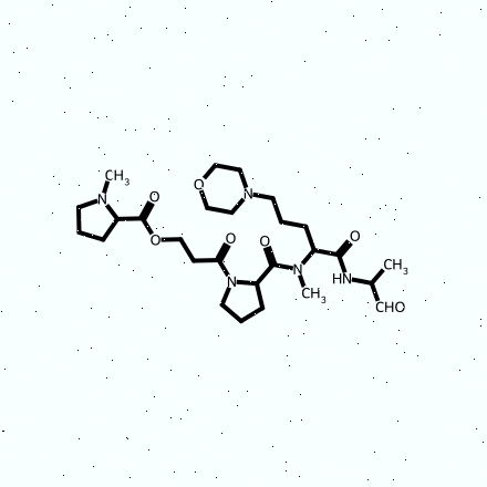 CC(C=O)NC(=O)C(CCCN1CCOCC1)N(C)C(=O)C1CCCN1C(=O)CCOC(=O)C1CCCN1C